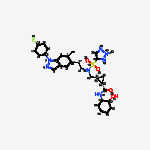 Cc1cc2c(cnn2-c2ccc(F)cc2)cc1CCN(C[C@H]1C[C@@H]1C(=O)Nc1ccccc1O)S(=O)(=O)c1cnn(C)n1